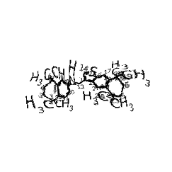 CC1(C)CCC(C)(C)c2cc(NCc3csc4cc5c(cc34)C(C)(C)CCC5(C)C)ccc21